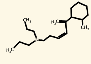 C=C(/C=C\CCN(CCC)CCC)C1CCCCC1C